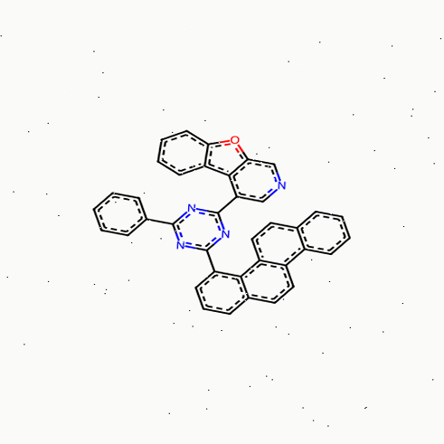 c1ccc(-c2nc(-c3cccc4ccc5c6ccccc6ccc5c34)nc(-c3cncc4oc5ccccc5c34)n2)cc1